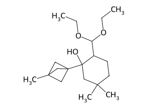 CCOC(OCC)C1CCC(C)(C)CC1(O)C12CC(C)(C1)C2